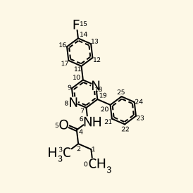 CCC(C)C(=O)Nc1ncc(-c2ccc(F)cc2)nc1-c1ccccc1